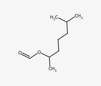 CC(C)CCCC(C)OC=O